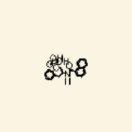 O=C(NC(COP(=O)(O)O)Cc1ccccc1)c1cccc2ccccc12